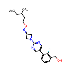 CC(=O)OCC(CCON=C1CN(c2ncc(-c3cccc(CO)c3F)cn2)C1)OC(C)=O